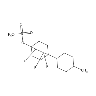 CC1CCC(C23CCC(OS(=O)(=O)C(F)(F)F)(CC2)C(F)C3(F)F)CC1